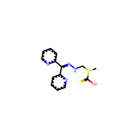 C[SH](CNN=C(c1ccccn1)c1ccccn1)C(O)=S